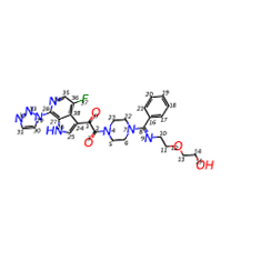 O=C(C(=O)N1CCN(/C(=N/CCOCCO)c2ccccc2)CC1)c1c[nH]c2c(-n3ccnn3)ncc(F)c12